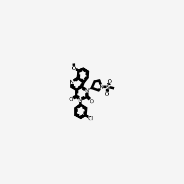 COc1cccc2c1ncc1c(=O)n(-c3cccc(Cl)c3)c(=O)n([C@@H]3CCN(S(C)(=O)=O)C3)c12